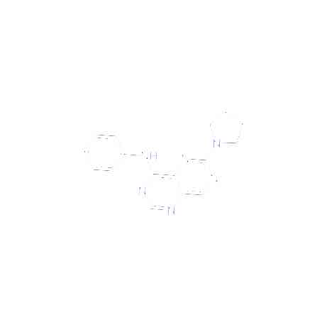 c1ccc(Nc2ncnc3cnc(N4CCCC4)nc23)cc1